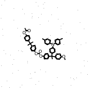 COc1ccc(C(C)(c2ccc(OC(=O)Oc3ccc(C(C)(C)c4ccc(OC(C)=O)cc4)cc3)cc2)c2ccc(N(c3ccc(C)cc3)c3ccc(C)cc3)cc2)cc1